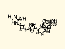 N=C(N)NC1CC(Cc2nnc([C@@H]3CC[C@@H]4CN3C(=O)N4OS(=O)(=O)O)o2)C1